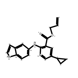 C=CCOC(=O)c1cc(C2CC2)cnc1Nc1ccc2[nH]ccc2c1